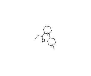 CCC(=O)C1CCCCN1C1CCN(C)CC1